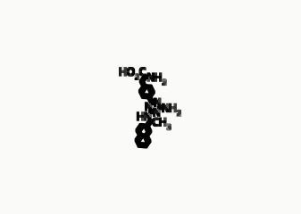 CC(Nc1nc(N)nc(-c2ccc(C[C@H](N)C(=O)O)cc2)n1)c1ccc2ccccc2c1